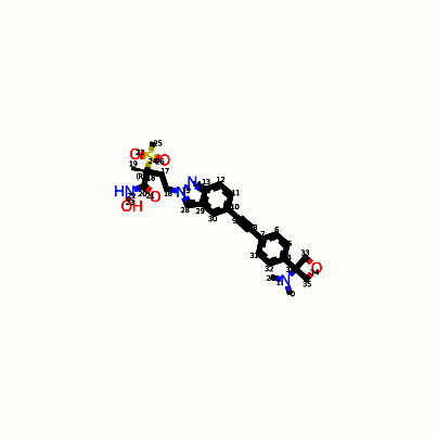 CN(C)C1(c2ccc(C#Cc3ccc4nn(CC[C@](C)(C(=O)NO)S(C)(=O)=O)cc4c3)cc2)COC1